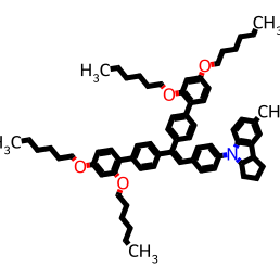 CCCCCCOc1ccc(-c2ccc(C(=Cc3ccc(N4c5ccc(C)cc5C5CCCC54)cc3)c3ccc(-c4ccc(OCCCCCC)cc4OCCCCCC)cc3)cc2)c(OCCCCCC)c1